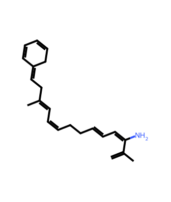 C=C(C)/C(N)=C\C=C\CC/C=C\C=C(/C)C/C=C1/C=CC=CC1